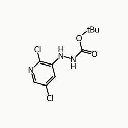 CC(C)(C)OC(=O)NNc1cc(Cl)cnc1Cl